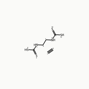 C#C.S=C(S)NCCNC(=S)S